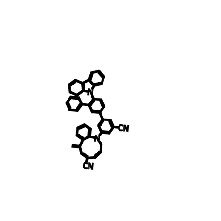 C=C1/C=C(C#N)\C=C/CN(c2cc(C#N)cc(-c3ccc(-n4c5c(c6ccccc64)C=CCC5)c(-c4ccccc4)c3)c2)c2ccccc21